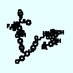 Cc1ncsc1-c1ccc([C@H](C)NC(=O)[C@@H]2C[C@@H](O)CN2C(=O)[C@@H](NC(=O)CCCCC(=O)N2CCC3(CCN(CC4(C)CCC(c5ccc(Cl)cc5)=C(CN5CCN(c6ccc(C(=O)NS(=O)(=O)c7ccc(NC(CCN8CCOCC8)CSc8ccccc8)c(S(=O)(=O)C(F)(F)F)c7)cc6)CC5)C4)CC3)CC2)C(C)(C)C)cc1